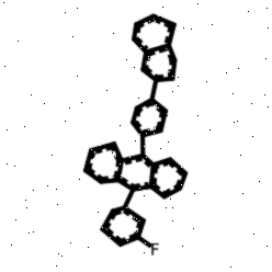 Fc1cccc(-c2c3ccccc3c(-c3ccc(-c4ccc5ccccc5c4)cc3)c3ccccc23)c1